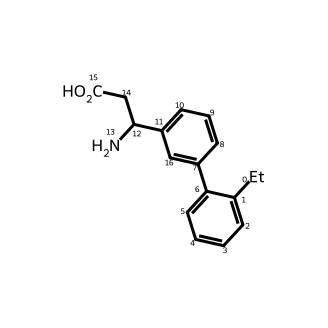 CCc1ccccc1-c1cccc(C(N)CC(=O)O)c1